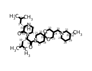 CC(C)C[C@@H]1NCCN([C@@H](CC(C)C)C(=O)N2CCC3(CC2)OCC(CN2CCC[C@@H](C)C2)CO3)C1=O